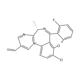 C=Cc1cnc2[n+](c1)-c1ccc(Cl)c(Cl)c1C(c1c(F)cccc1F)=N[C@H]2C